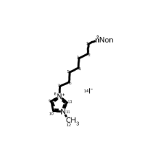 CCCCCCCCCCCCCCCC[n+]1ccn(C)c1.[I-]